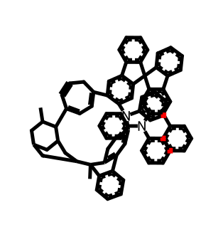 CC1CC2CC3CC(C2)C2(C)C4=C(C=C(CC4)N(c4ccccc4)c4cc5c(cc4C4=CC=C(C#CC4)C13)-c1ccccc1C51c3ccccc3-c3cc(-c4ccccc4)c(N(c4ccccc4)c4ccccc4)cc31)c1ccccc12